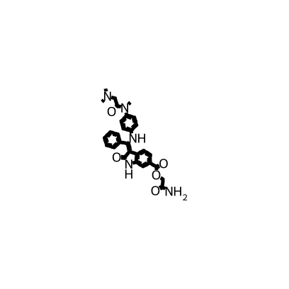 CN(C)CC(=O)N(C)c1ccc(NC(=C2C(=O)Nc3cc(C(=O)OCC(N)=O)ccc32)c2ccccc2)cc1